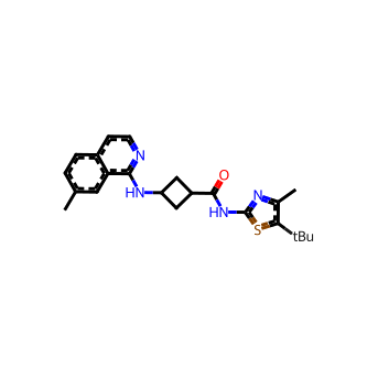 Cc1ccc2ccnc(NC3CC(C(=O)Nc4nc(C)c(C(C)(C)C)s4)C3)c2c1